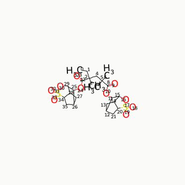 CCC(C)(CC(C)(C)C(=O)OC1C2CC3C1OS(=O)(=O)C3C2)C(=O)OC1C2CC3C1OS(=O)(=O)C3C2